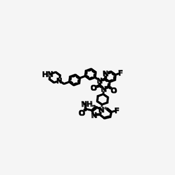 NC(=O)C1=C[N+]2([C@H]3CC[C@H](n4c(=O)c5cc(F)cnc5n(-c5cccc(-c6ccc(CN7CCNCC7)cc6)c5)c4=O)CC3)C=C(F)C=CC2=N1